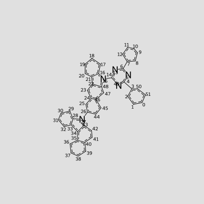 c1ccc(-c2nc(-c3ccccc3)nc(-n3c4ccccc4c4cc5cc(-n6c7ccccc7c7c8ccccc8ccc76)ccc5cc43)n2)cc1